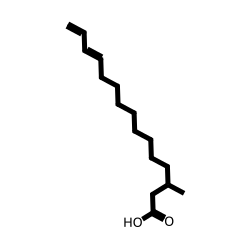 C=CC=CCCCCCCCCC(C)CC(=O)O